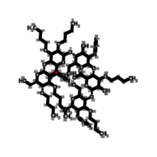 CCCCOC1C(O[C@H]2C(CO)OC(O[C@H]3C(C(=O)O)O[C@@H](O[C@@H]4C(CO)O[C@H](OC)C(N=[N+]=[N-])C4OCCCC)C(O)C3OCCCC)C(N=[N+]=[N-])C2O)OC(C(=O)O)C(O[C@H]2O[C@H](CO)[C@@H](OCCCC)C(OCCCC)C2N=[N+]=[N-])C1OCCCC